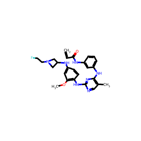 C=CC(=O)Nc1cccc(Nc2nc(Nc3ccc(NC4CN(CCF)C4)cc3OC)ncc2C)c1